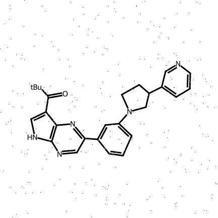 CC(C)(C)C(=O)c1c[nH]c2ncc(-c3cccc(N4CCC(c5cccnc5)C4)c3)nc12